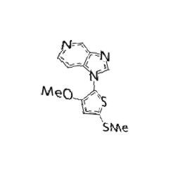 COc1cc(SC)sc1-n1cnc2cnccc21